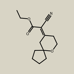 CCOC(=O)/C(C#N)=C1/CCOC2(CCCC2)C1